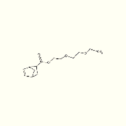 CCOCCOCCOC(=O)C1CC2C=CC1C2